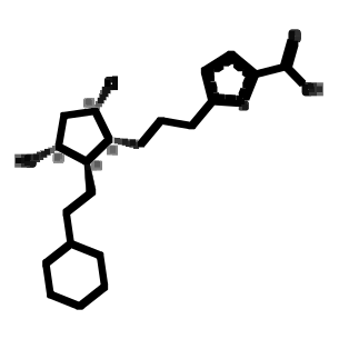 O=C(O)c1ccc(CCC[C@@H]2[C@@H](CCC3CCCCC3)[C@H](O)C[C@@H]2Cl)s1